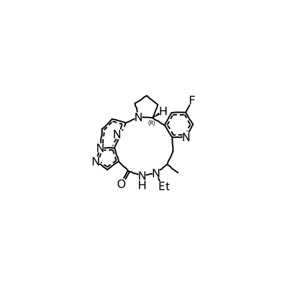 CCN1NC(=O)c2cnn3ccc(nc23)N2CCC[C@@H]2c2cc(F)cnc2CC1C